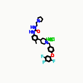 Cc1ccc(NC(=O)NCCN2CCCC2)cc1C1CCN(Cc2ccc(Oc3cc(F)c(F)cc3F)cc2)CC1.Cl.Cl